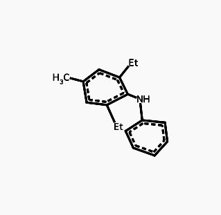 CCc1cc(C)cc(CC)c1Nc1ccccc1